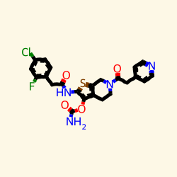 NC(=O)Oc1c(NC(=O)Cc2ccc(Cl)cc2F)sc2c1CCN(C(=O)Cc1ccncc1)C2